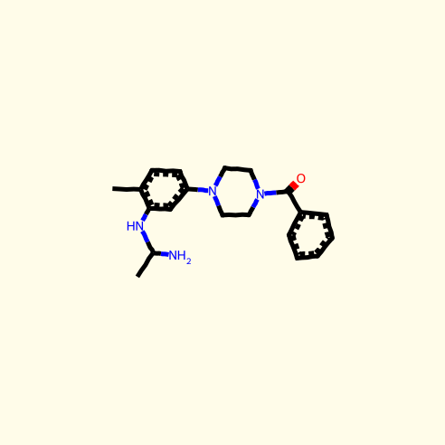 Cc1ccc(N2CCN(C(=O)c3ccccc3)CC2)cc1NC(C)N